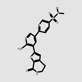 CCN(C)S(=O)(=O)c1ccc(-c2cnc(N)c(-c3cc4c(s3)C(=O)NCC4)c2)nc1